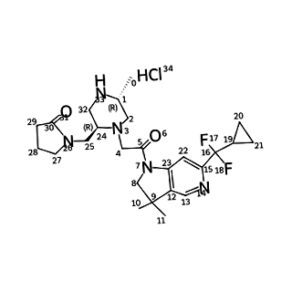 C[C@@H]1CN(CC(=O)N2CC(C)(C)c3cnc(C(F)(F)C4CC4)cc32)[C@@H](CN2CCCC2=O)CN1.Cl